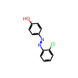 Oc1ccc(/N=N/c2ccccc2Cl)cc1